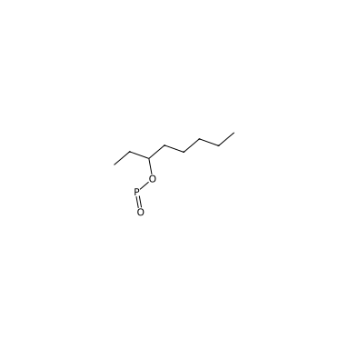 CCCCCC(CC)OP=O